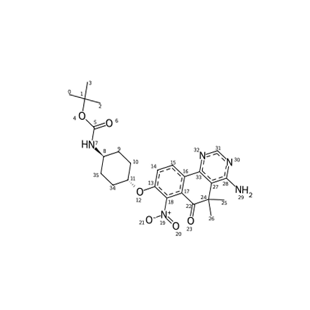 CC(C)(C)OC(=O)N[C@H]1CC[C@H](Oc2ccc3c(c2[N+](=O)[O-])C(=O)C(C)(C)c2c(N)ncnc2-3)CC1